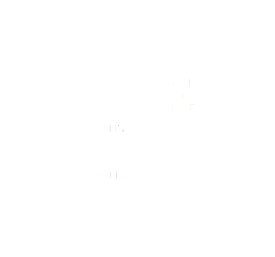 CC(O)CCNCc1cccc(OC(F)(F)F)c1